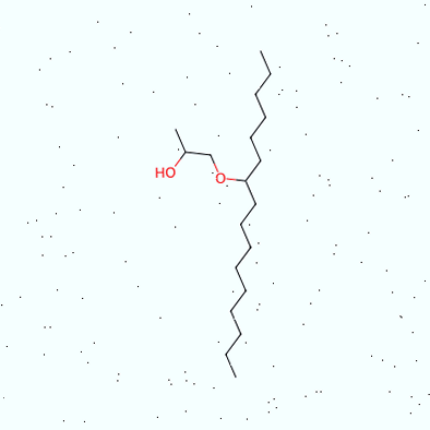 CCCCCCCCCC(CCCCCC)OCC(C)O